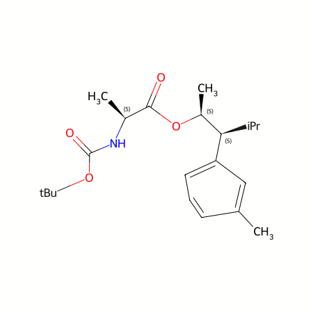 Cc1cccc([C@H](C(C)C)[C@H](C)OC(=O)[C@H](C)NC(=O)OC(C)(C)C)c1